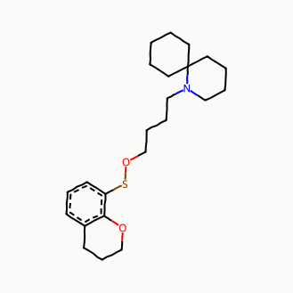 c1cc2c(c(SOCCCCN3CCCCC34CCCCC4)c1)OCCC2